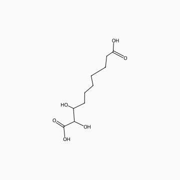 O=C(O)CCCCCCC(O)C(O)C(=O)O